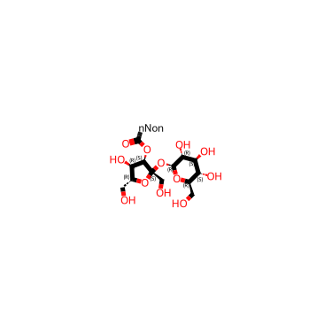 CCCCCCCCCC(=O)O[C@H]1[C@H](O)[C@@H](CO)O[C@@]1(CO)O[C@H]1O[C@H](CO)[C@@H](O)[C@H](O)[C@H]1O